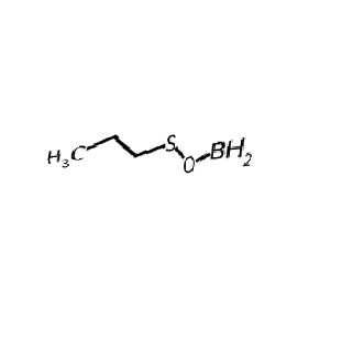 BOSCCC